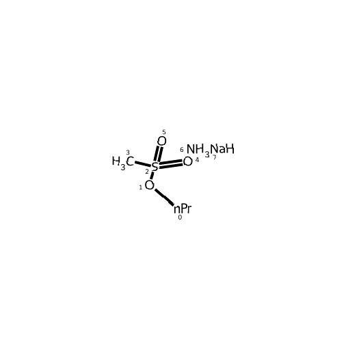 CCCOS(C)(=O)=O.N.[NaH]